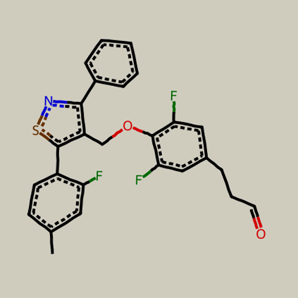 Cc1ccc(-c2snc(-c3ccccc3)c2COc2c(F)cc(CCC=O)cc2F)c(F)c1